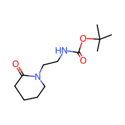 CC(C)(C)OC(=O)NCCN1CCCCC1=O